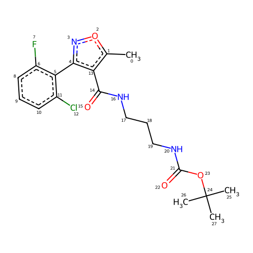 Cc1onc(-c2c(F)cccc2Cl)c1C(=O)NCCCNC(=O)OC(C)(C)C